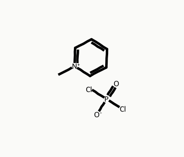 C[n+]1ccccc1.O=P([O-])(Cl)Cl